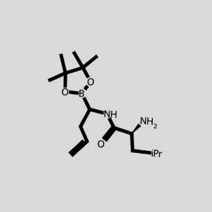 C=CCC(NC(=O)[C@@H](N)CC(C)C)B1OC(C)(C)C(C)(C)O1